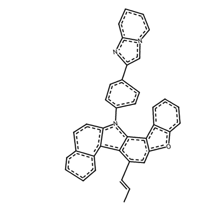 C/C=C/c1cc2oc3ccccc3c2c2c1c1c3ccccc3ccc1n2-c1ccc(-c2cn3ccccc3n2)cc1